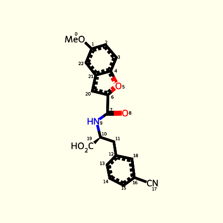 COc1ccc2oc(C(=O)N[C@@H](Cc3cccc(C#N)c3)C(=O)O)cc2c1